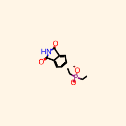 CCP(=O)(CC)OC.O=C1NC(=O)c2ccccc21